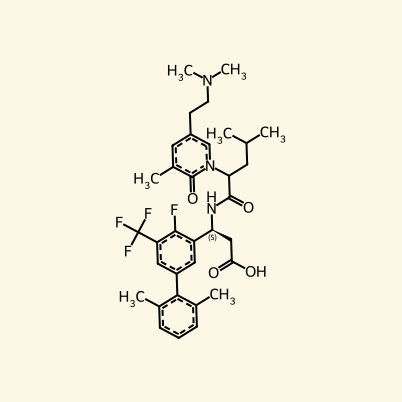 Cc1cccc(C)c1-c1cc([C@H](CC(=O)O)NC(=O)C(CC(C)C)n2cc(CCN(C)C)cc(C)c2=O)c(F)c(C(F)(F)F)c1